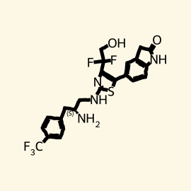 N[C@H](CNc1nc(C(F)(F)CO)c(-c2ccc3c(c2)CC(=O)N3)s1)Cc1ccc(C(F)(F)F)cc1